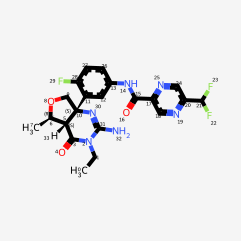 CCN1C(=O)[C@@H]2[C@@H](C)OC[C@]2(c2cc(NC(=O)c3cnc(C(F)F)cn3)ccc2F)N=C1N